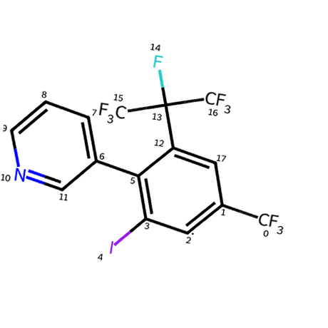 FC(F)(F)c1[c]c(I)c(-c2cccnc2)c(C(F)(C(F)(F)F)C(F)(F)F)c1